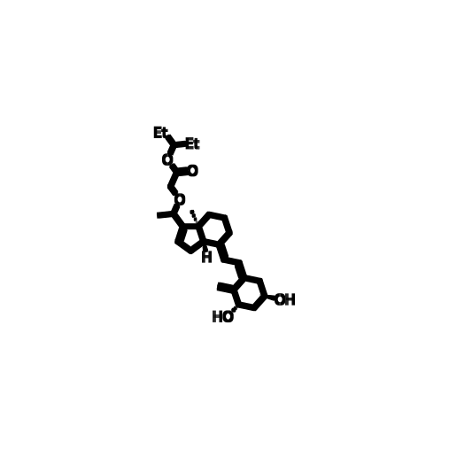 C=C1/C(=C\C=C2/CCC[C@]3(C)C(C(C)OCC(=O)OC(CC)CC)=CC[C@@H]23)C[C@@H](O)C[C@@H]1O